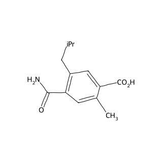 Cc1cc(C(N)=O)c(CC(C)C)cc1C(=O)O